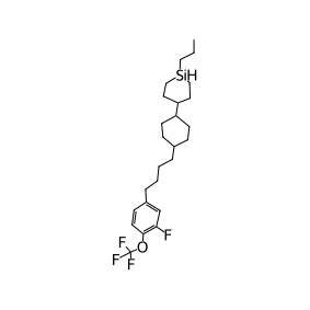 CCC[SiH]1CCC(C2CCC(CCCCc3ccc(OC(F)(F)F)c(F)c3)CC2)CC1